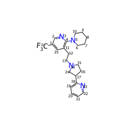 FC(F)(F)c1cnc(N2CCCCC2)c(CCN2CCC(c3ccccn3)C2)c1